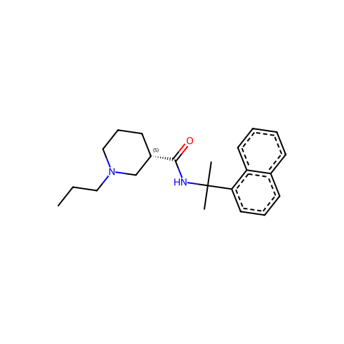 CCCN1CCC[C@H](C(=O)NC(C)(C)c2cccc3ccccc23)C1